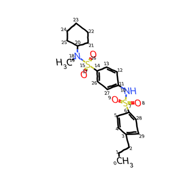 CCCc1ccc(S(=O)(=O)Nc2ccc(S(=O)(=O)N(C)C3CCCCC3)cc2)cc1